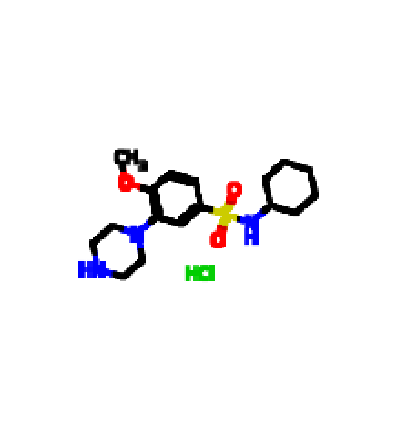 COc1ccc(S(=O)(=O)NC2CCCCC2)cc1N1CCNCC1.Cl